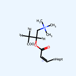 [2H]C(C[N+](C)(C)C)(OC(=O)/C=C\CCCCCCC)C([2H])([2H])C(=O)[O-]